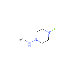 CCCNN1CCN(F)CC1